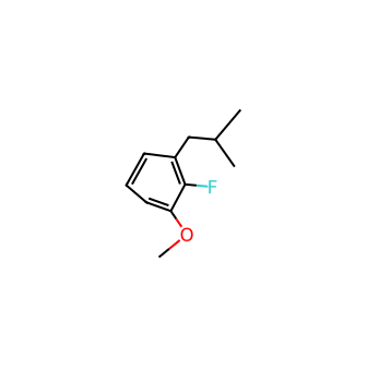 COc1cccc(CC(C)C)c1F